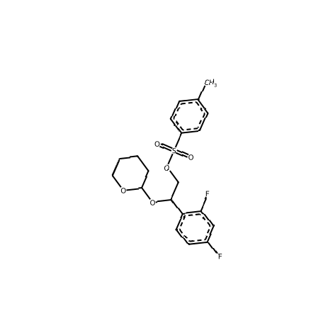 Cc1ccc(S(=O)(=O)OCC(OC2CCCCO2)c2ccc(F)cc2F)cc1